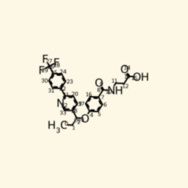 CC[C@H](Oc1ccc(C(=O)NCCC(=O)O)cc1)c1ccc(-c2ccc(C(F)(F)F)cc2)nc1